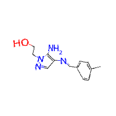 Cc1ccc(C=Nc2cnn(CCO)c2N)cc1